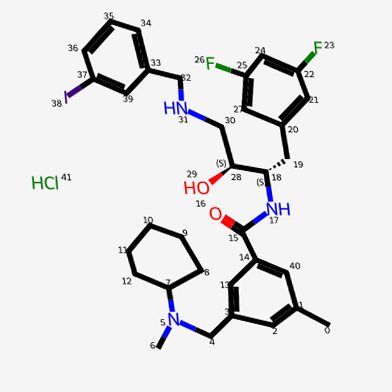 Cc1cc(CN(C)C2CCCCC2)cc(C(=O)N[C@@H](Cc2cc(F)cc(F)c2)[C@@H](O)CNCc2cccc(I)c2)c1.Cl